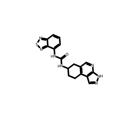 O=C(Nc1cccc2nsnc12)NC1CCc2c(cnc3[nH]ncc23)C1